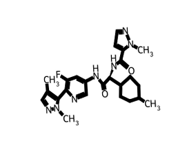 Cc1cnn(C)c1-c1ncc(NC(=O)[C@@H](NC(=O)c2ccnn2C)C2CCC(C)CC2)cc1F